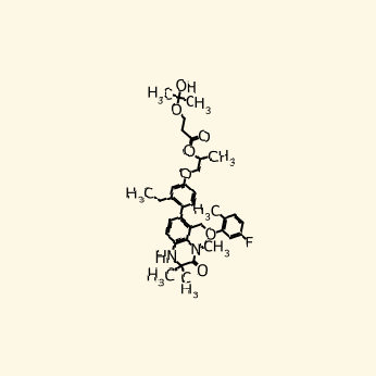 CCc1cc(OCC(C)OC(=O)CCOC(C)(C)O)ccc1-c1ccc2c(c1COc1cc(F)ccc1C)N(C)C(=O)C(C)(C)N2